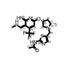 CN/C=C1\C(=N)N=C(O[C@@H]2C[C@H](C)N(Cc3cnc(NC(C)=O)s3)C2)C=C1C(F)(F)F